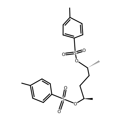 Cc1ccc(S(=O)(=O)O[C@H](C)CC[C@@H](C)OS(=O)(=O)c2ccc(C)cc2)cc1